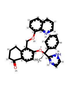 C[C@](Oc1ccc2c(c1COc1cccc3cccnc13)CCCC2=O)(c1ccccc1)c1ncc[nH]1